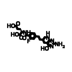 Nc1nc(O)c2c(n1)NCC(CCc1ccc(C(=O)N[C@@H](CCC(=O)O)C(=O)O)c(F)c1)C2